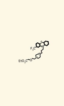 CCOC(=O)COCCN1CCN(CCCN2c3ccccc3Sc3ccc(C(F)(F)F)cc32)CC1